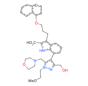 COCCn1nc(CO)c(-c2cccc3c(CCCOc4cccc5ccccc45)c(C(=O)O)[nH]c23)c1CN1CCOCC1